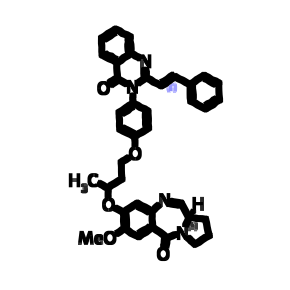 COc1cc2c(cc1OC(C)CCOc1ccc(-n3c(/C=C/c4ccccc4)nc4ccccc4c3=O)cc1)N=C[C@@H]1CCCN1C2=O